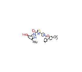 CC(C)(C)c1ccc(O)c(CNC(=O)c2csc(C3CCN(C(=O)c4ccccc4-c4ccc(C(F)(F)F)cc4)CC3)n2)c1